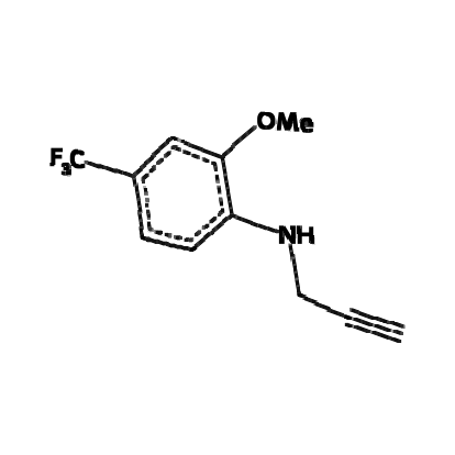 C#CCNc1ccc(C(F)(F)F)cc1OC